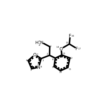 NCC(c1ncco1)c1ccccc1OC(F)F